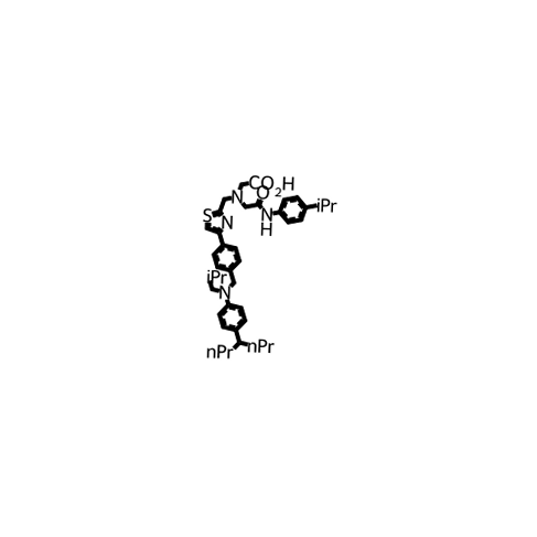 CCCC(CCC)c1ccc(N(Cc2ccc(-c3csc(CN(CC(=O)O)CC(=O)Nc4ccc(C(C)C)cc4)n3)cc2)CC(C)C)cc1